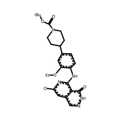 CCOc1cc(C2CCN(C(=O)OC(C)(C)C)CC2)ccc1Nc1nc(Cl)cc2cn[nH]c(=O)c12